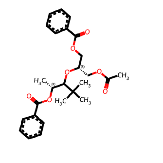 CC(=O)OC[C@@H](COC(=O)c1ccccc1)OC([C@@H](C)OC(=O)c1ccccc1)C(C)(C)C